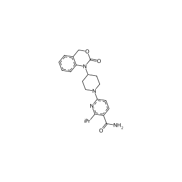 CC(C)c1nc(N2CCC(N3C(=O)OCc4ccccc43)CC2)ccc1C(N)=O